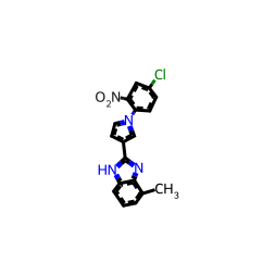 Cc1cccc2[nH]c(-c3ccn(-c4ccc(Cl)cc4[N+](=O)[O-])c3)nc12